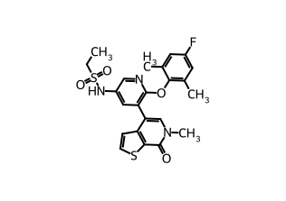 CCS(=O)(=O)Nc1cnc(Oc2c(C)cc(F)cc2C)c(-c2cn(C)c(=O)c3sccc23)c1